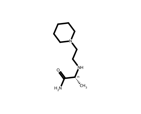 C[C@@H](NCCN1CCCCC1)C(N)=O